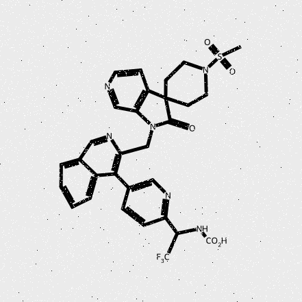 CS(=O)(=O)N1CCC2(CC1)C(=O)N(Cc1ncc3ccccc3c1-c1ccc(C(NC(=O)O)C(F)(F)F)nc1)c1cnccc12